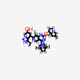 CCc1ncn2cc(O)cc(-c3ncc4c(N5C[C@H]6CC[C@@H](C5)N6)nc(OC[C@@]56CCCN5C[C@H](F)C6)nc4c3F)c12